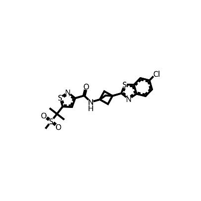 CC(C)(c1cc(C(=O)NC23CC(c4nc5ccc(Cl)cc5s4)(C2)C3)ns1)S(C)(=O)=O